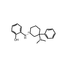 CN(C)C1(c2ccccc2)CCC[C@@H](Nc2ccccc2O)C1